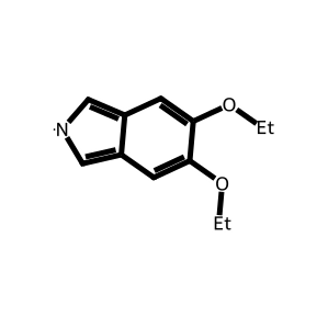 CCOc1cc2c(cc1OCC)=C[N]C=2